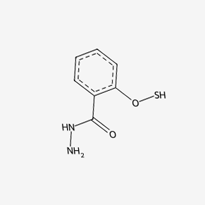 NNC(=O)c1ccccc1OS